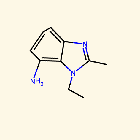 CCn1c(C)nc2cccc(N)c21